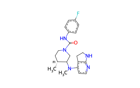 C[C@@H]1CCN(C(=O)Nc2ccc(F)cc2)CC1N(C)c1ccnc2c1CCN2